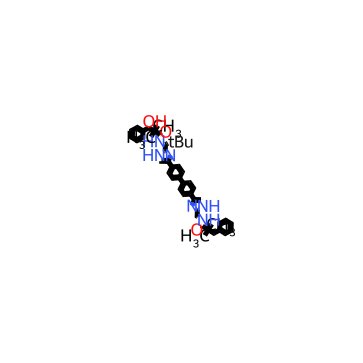 CC(C)(Cc1ccccc1)C(=O)NCc1nc(-c2ccc(-c3ccc(-c4c[nH]c(C(NC(=O)C(C)(C)C(O)c5ccccc5)C(C)(C)C)n4)cc3)cc2)c[nH]1